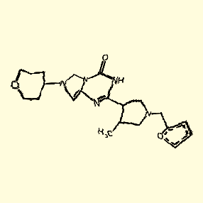 CC1CN(Cc2ccco2)CC1C1=NC2=CN(C3CCOCC3)CN2C(=O)N1